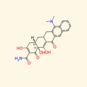 CN(C)c1c2c(cc3ccccc13)C(=O)C1=C(O)[C@]3(O)C(=O)C(C(N)=O)=C(O)C[C@@H]3CC1C2